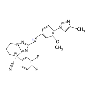 COc1cc(/C=C/c2nc3n(n2)CCC[C@]3(C#N)c2ccc(F)c(F)c2)ccc1-n1cnc(C)c1